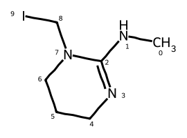 CNC1=NCCCN1CI